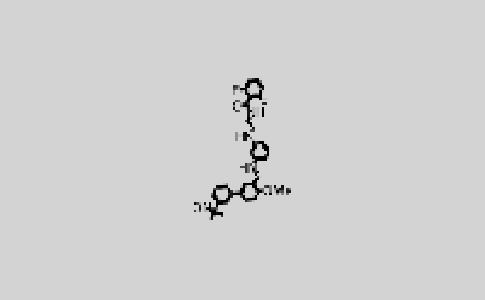 COc1ccc(-c2cccc(C(C)(C)N=O)c2)cc1SNc1cccc(NCCNC(=O)c2c(F)cccc2F)c1